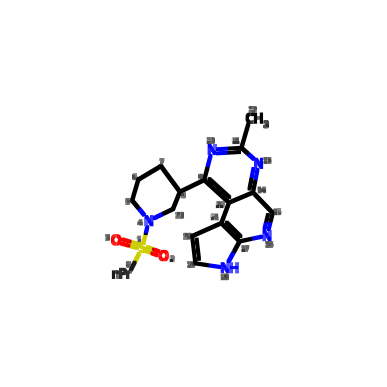 CCCS(=O)(=O)N1CCCC(c2nc(C)nc3cnc4[nH]ccc4c23)C1